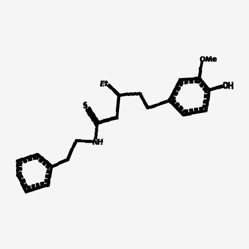 CCC(CCc1ccc(O)c(OC)c1)CC(=S)NCCc1ccccc1